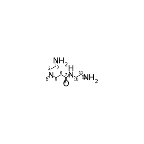 CN(CCN)CCC(=O)NCCN